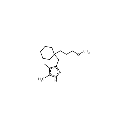 COCCCC1(Cc2n[nH]c(C)c2I)CCCCC1